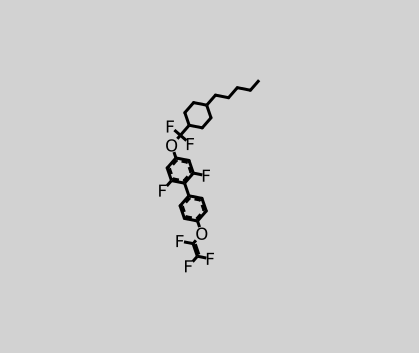 CCCCCC1CCC(C(F)(F)Oc2cc(F)c(-c3ccc(OC(F)=C(F)F)cc3)c(F)c2)CC1